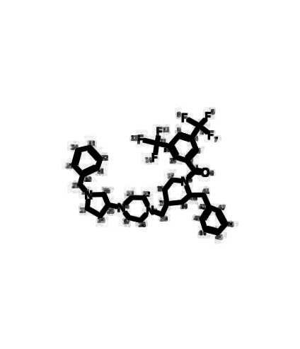 O=C(c1cc(C(F)(F)F)cc(C(F)(F)F)c1)N1CCC(CN2CCN(C3CCN(Cc4ccccc4)C3)CC2)CC1Cc1ccccc1